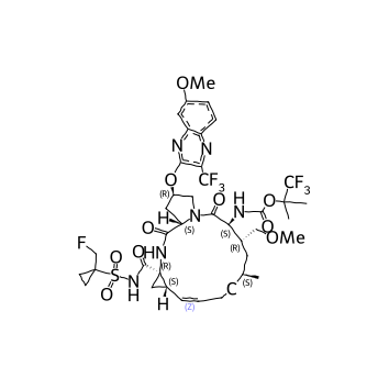 COC[C@@H]1C[C@@H](C)CC/C=C\[C@@H]2C[C@@]2(C(=O)NS(=O)(=O)C2(CF)CC2)NC(=O)[C@@H]2C[C@@H](Oc3nc4cc(OC)ccc4nc3C(F)(F)F)CN2C(=O)[C@H]1NC(=O)OC(C)(C)C(F)(F)F